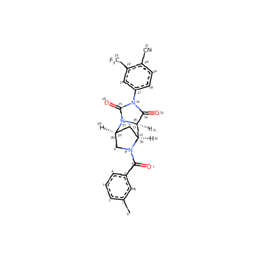 Cc1cccc(C(=O)N2C[C@@H]3C[C@H]2[C@@H]2C(=O)N(c4ccc(C#N)c(C(F)(F)F)c4)C(=O)N32)c1